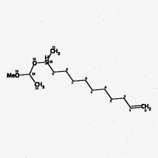 C=CCCCCCCCC[SiH](C)OC(C)OC